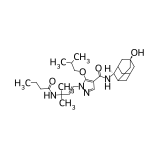 CCCC(=O)NC(C)(C)/C=C/n1ncc(C(=O)N[C@H]2C3CC4CC2C[C@@](O)(C4)C3)c1OCC(C)C